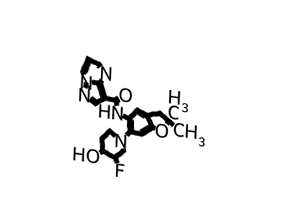 CC1(C)Cc2cc(NC(=O)c3cnn4cccnc34)c(N3CCC(O)C(F)C3)cc2O1